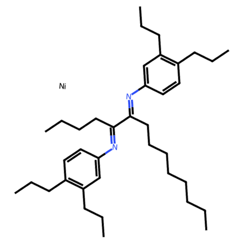 CCCCCCCCC(=N\c1ccc(CCC)c(CCC)c1)/C(CCCC)=N/c1ccc(CCC)c(CCC)c1.[Ni]